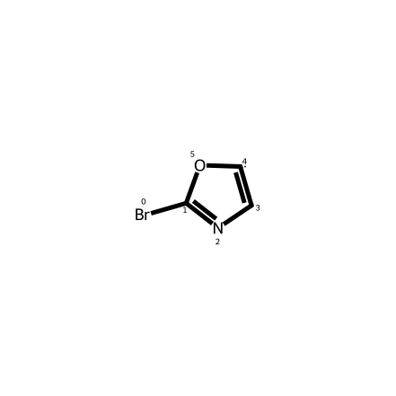 Brc1nc[c]o1